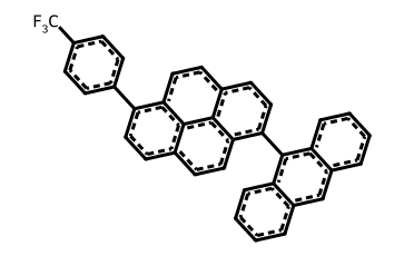 FC(F)(F)c1ccc(-c2ccc3ccc4c(-c5c6ccccc6cc6ccccc56)ccc5ccc2c3c54)cc1